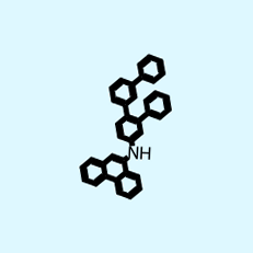 c1ccc(-c2cccc(-c3ccc(Nc4cc5ccccc5c5ccccc45)cc3-c3ccccc3)c2)cc1